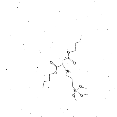 CCCCOC(=O)CC(NCCC[Si](OC)(OC)OC)C(=O)OCCCC